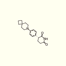 O=C1CC[C@H](c2ccc(N3CCC4(CCC4)CC3)cc2)C(=O)N1